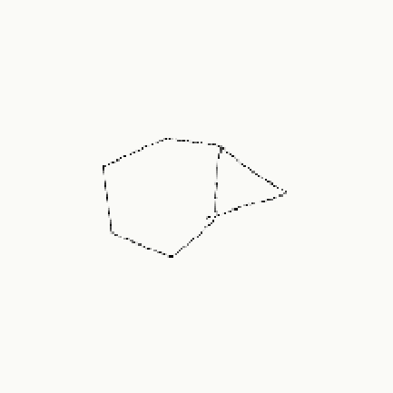 C1CCC2C[C]2C1